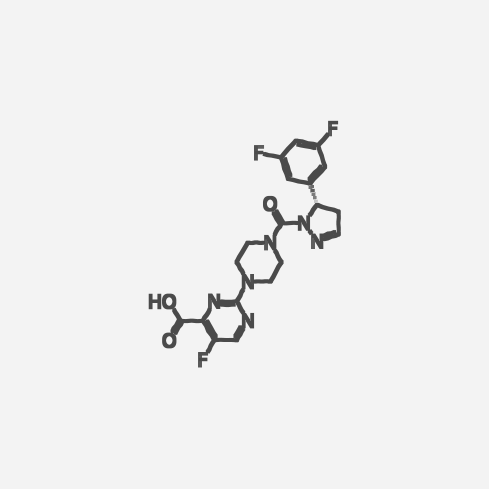 O=C(O)c1nc(N2CCN(C(=O)N3N=CC[C@H]3c3cc(F)cc(F)c3)CC2)ncc1F